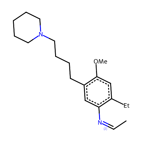 C/C=N\c1cc(CCCCN2CCCCC2)c(OC)cc1CC